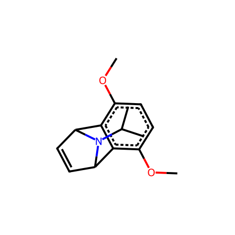 COc1ccc(OC)c2c1C1C=CC2N1C(C)C